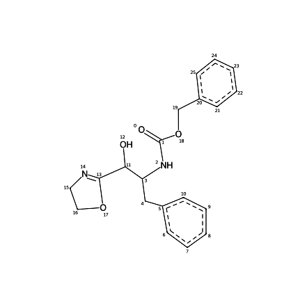 O=C(NC(Cc1ccccc1)C(O)C1=NCCO1)OCc1ccccc1